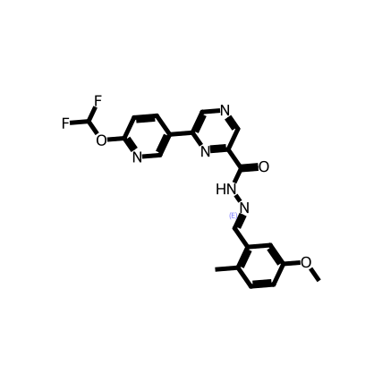 COc1ccc(C)c(/C=N/NC(=O)c2cncc(-c3ccc(OC(F)F)nc3)n2)c1